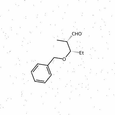 CC[C@H](OCc1ccccc1)[C@H](C)C=O